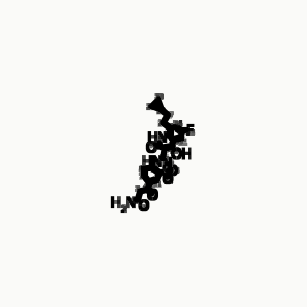 NC(=O)CC(=O)c1ccc2c(c1)S(=O)(=O)N=C(c1c(O)c3cc(F)cc(CCC4CC4)c3[nH]c1=O)N2